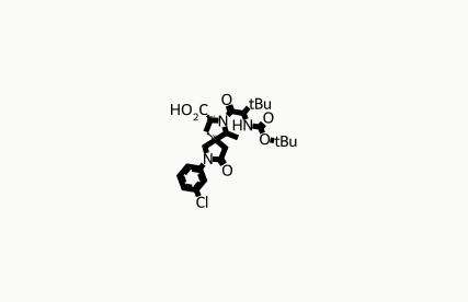 CC1N(C(=O)C(NC(=O)OC(C)(C)C)C(C)(C)C)[C@H](C(=O)O)C[C@@]12CC(=O)N(c1cccc(Cl)c1)C2